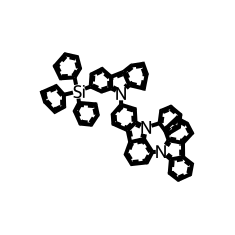 c1ccc(-n2c3cc(-n4c5ccccc5c5ccc([Si](c6ccccc6)(c6ccccc6)c6ccccc6)cc54)ccc3c3cccc(-n4c5ccccc5c5ccccc54)c32)cc1